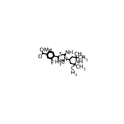 COC(=O)c1ccc(C(=N)SC(=N)N(C)C2CC(C)(C)NC(C)(C)C2)c(F)c1